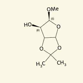 CO[C@H]1OC2OC(C)(C)OC2[C@H]1O